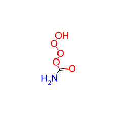 NC(=O)OOOO